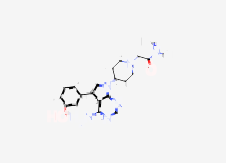 CN(C)C(=O)CN1CCC(n2cc(-c3cccc(O)c3)c3c(N)ncnc32)CC1